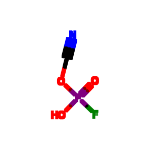 N#COP(=O)(O)F